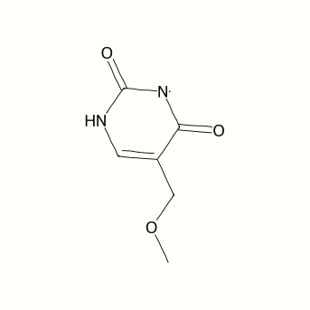 COCC1=CNC(=O)[N]C1=O